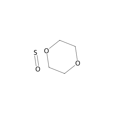 C1COCCO1.O=S